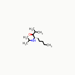 CCCCC[C@H](NC(C)C)C(=O)C(C)C